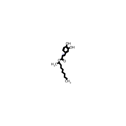 CCCCCCCCC(C)OC(=O)/C=C/c1ccc(O)c(O)c1